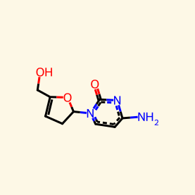 Nc1ccn(C2CC=C(CO)O2)c(=O)n1